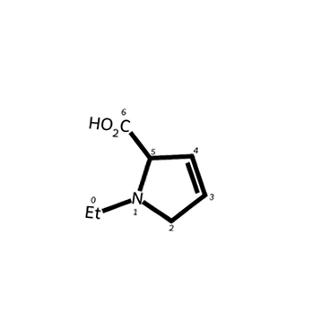 CCN1CC=CC1C(=O)O